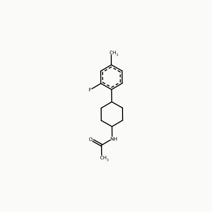 CC(=O)NC1CCC(c2ccc(C)cc2F)CC1